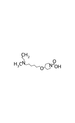 C=CCN(C)CCCCCCOC1CCN(C(=O)O)CC1